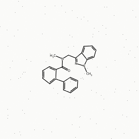 CN(Cc1nn(C)c2ccccc12)C(=O)c1ccccc1-c1ccccc1